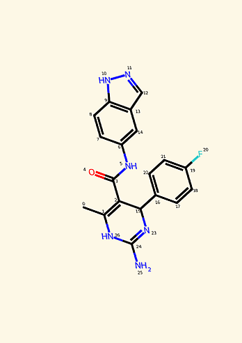 CC1=C(C(=O)Nc2ccc3[nH]ncc3c2)C(c2ccc(F)cc2)N=C(N)N1